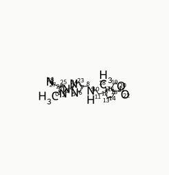 Cc1nn(-c2ncc(CNCCc3ccc4c(c3C)COC4=O)cn2)cc1C#N